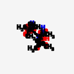 COc1ccc(C(OC[C@]2(CO)CN(CCCCCO[C@@H]3O[C@H](COC(C)=O)[C@H](OC(C)=O)[C@H](OC(C)=O)[C@H]3NC(C)=O)C[C@H](n3cc(C)c(=O)[nH]c3=O)O2)(c2ccccc2)c2ccc(OC)cc2)cc1